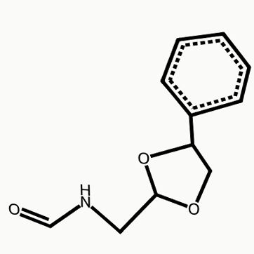 O=CNCC1OCC(c2ccccc2)O1